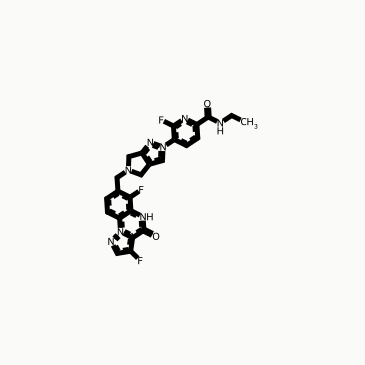 CCNC(=O)c1ccc(-n2cc3c(n2)CN(Cc2ccc4c([nH]c(=O)c5c(F)cnn54)c2F)C3)c(F)n1